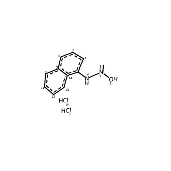 Cl.Cl.ONNc1cccc2ccccc12